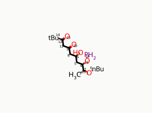 CCCCO[C@H](C)C(CC(O)CC(=O)CC(=O)C(C)(C)C)OP